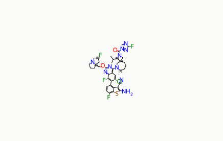 CC(C)[C@H]1N(C(=O)n2cnc(F)n2)C[C@]12CCC[C@H](C)N(c1nc(OC[C@@]34CCCN3C[C@H](F)C4)nc3c(F)c(-c4ccc(F)c5sc(N)c(C#N)c45)c(Cl)cc13)C2